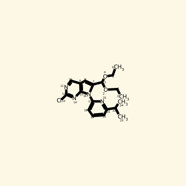 CCOC(OCC)c1cc2cnc(Cl)nc2n1-c1cccc(C(C)C)n1